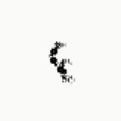 C=C(C)Cn1ccc2c(CCC)c(OCc3ccc(Oc4ccc(-c5nn[nH]n5)cc4)cc3)ccc21